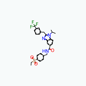 CCS(=O)(=O)c1ccc(CNC(=O)c2ccc3c(c2)nc(Cc2cccc(C(F)(F)F)c2)n3C(C)C)cc1